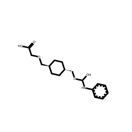 O=C(O)COC[C@H]1CC[C@H](COC(O)Nc2ccccc2)CC1